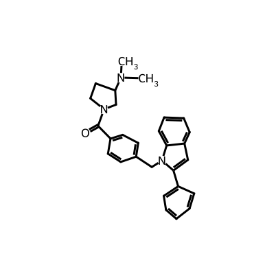 CN(C)C1CCN(C(=O)c2ccc(Cn3c(-c4ccccc4)cc4ccccc43)cc2)C1